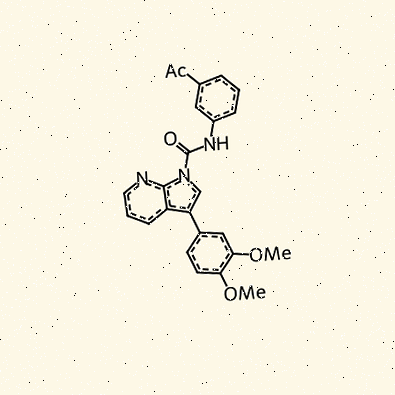 COc1ccc(-c2cn(C(=O)Nc3cccc(C(C)=O)c3)c3ncccc23)cc1OC